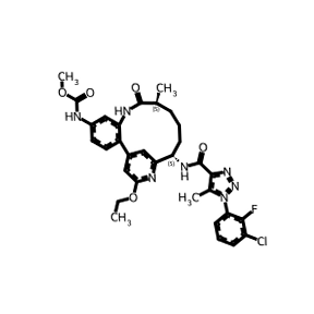 CCOc1cc2cc(n1)[C@@H](NC(=O)c1nnn(-c3cccc(Cl)c3F)c1C)CCC[C@H](C)C(=O)Nc1cc(NC(=O)OC)ccc1-2